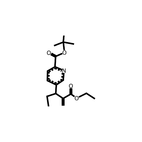 C=C(C(=O)OCC)C(CC)c1ccc(C(=O)OC(C)(C)C)nc1